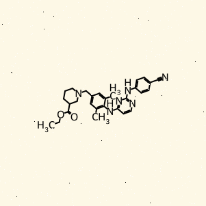 CCOC(=O)C1CCCN(Cc2cc(C)c(Nc3ccnc(Nc4ccc(C#N)cc4)n3)c(C)c2)C1